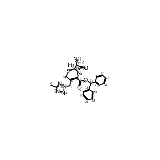 Cc1nnn(CC2=C(C(=O)OC(c3ccccc3)c3ccccc3)N3C(=O)C(N)[C@@H]3SC2)n1